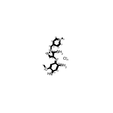 COC1=CC(=Nc2cnn(Cc3cc[n+](C)cc3)c2N)C(N)=CC1=N.[Cl-]